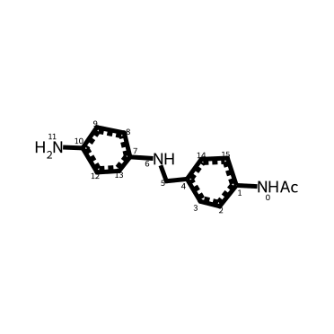 CC(=O)Nc1ccc(CNc2ccc(N)cc2)cc1